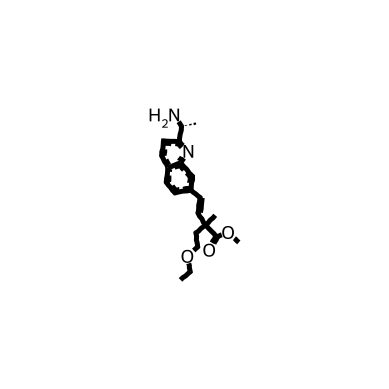 CCOCCC(C)(/C=C/c1ccc2ccc([C@@H](C)N)nc2c1)C(=O)OC